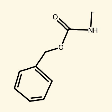 [CH]NC(=O)OCc1ccccc1